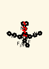 Fc1cccc(F)c1-c1cc(-n2c3ccc(-c4ccc(-c5ccccc5)nc4)cc3c3cc(-c4ccc(-c5ccccc5)nc4)ccc32)c(-n2c3ccc(-c4ccc(-c5ccccc5)nc4)cc3c3cc(-c4ccc(-c5ccccc5)nc4)ccc32)cc1C(F)(F)F